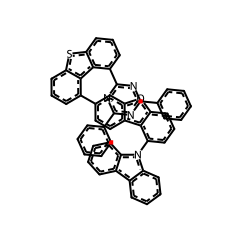 c1ccc(-c2nc(-c3ccccc3)nc(-c3cccc4sc5cccc(-c6ccc7c(c6)oc6cccc(-n8c9ccccc9c9ccccc98)c67)c5c34)n2)cc1